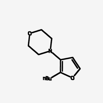 CCCCc1occc1N1CCOCC1